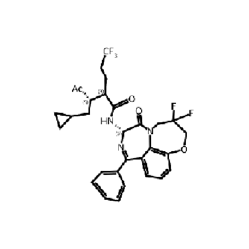 CC(=O)[C@@H](CC1CC1)[C@@H](CCC(F)(F)F)C(=O)N[C@H]1N=C(c2ccccc2)c2cccc3c2N(CC(F)(F)CO3)C1=O